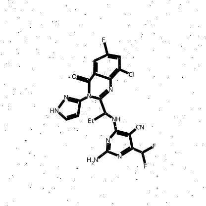 CCC(Nc1nc(N)nc(C(F)F)c1C#N)c1nc2c(Cl)cc(F)cc2c(=O)n1-c1cc[nH]n1